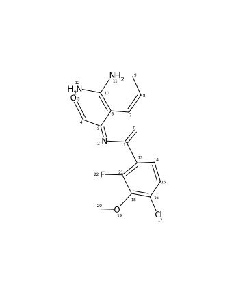 C=C(/N=C(/C=O)C(/C=C\C)=C(N)N)c1ccc(Cl)c(OC)c1F